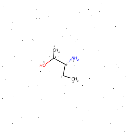 CC[C@@H](N)C(C)O